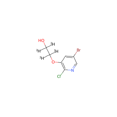 [2H]C([2H])(O)C([2H])([2H])Oc1cc(Br)cnc1Cl